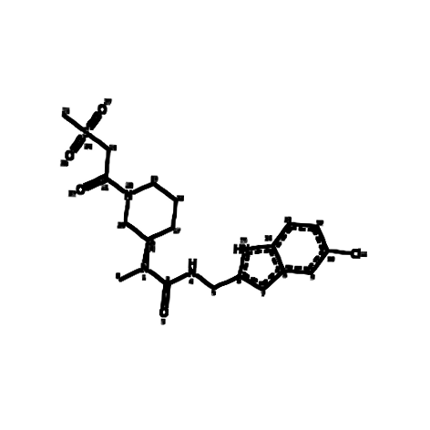 CN(C(=O)NCc1cc2cc(Cl)ccc2[nH]1)[C@@H]1CCCN(C(=O)CS(C)(=O)=O)C1